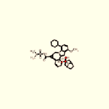 COc1ccc(C2CCCCC2)c2c1cc1n2CC2=C(C(=O)NS(=O)(=O)N(C)C)C2=C2C=CC[C@@H](C(=O)N3C4CCC3CC(C)(O)C4)[C@@H]21